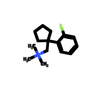 C[N+](C)(C)CC1(c2ccccc2F)CCCC1